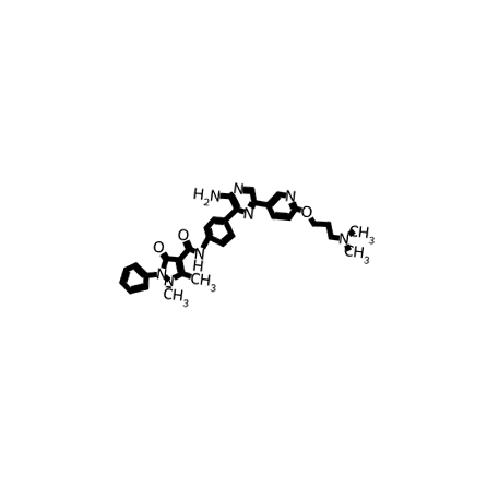 Cc1c(C(=O)Nc2ccc(-c3nc(-c4ccc(OCCCN(C)C)nc4)cnc3N)cc2)c(=O)n(-c2ccccc2)n1C